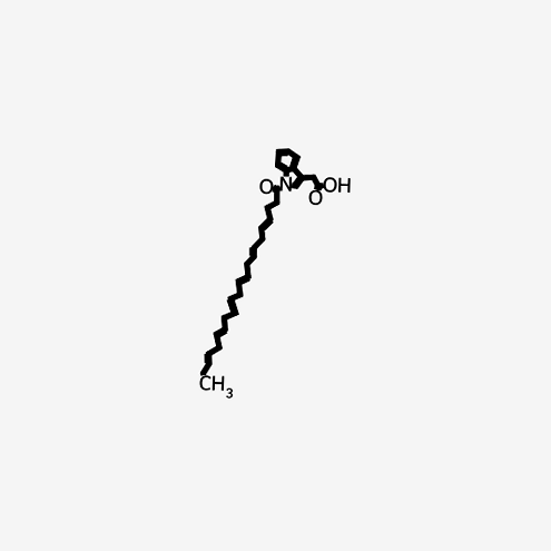 CC/C=C/C/C=C/C/C=C/C/C=C/C/C=C/C/C=C/CCC(=O)n1cc(CC(=O)O)c2ccccc21